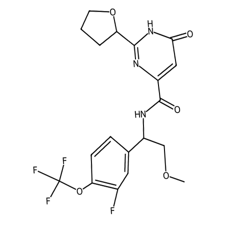 COCC(NC(=O)c1cc(=O)[nH]c(C2CCCO2)n1)c1ccc(OC(F)(F)F)c(F)c1